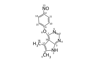 Cc1[nH]c2ncnc(Oc3ccc(N=O)cc3)c2c1C